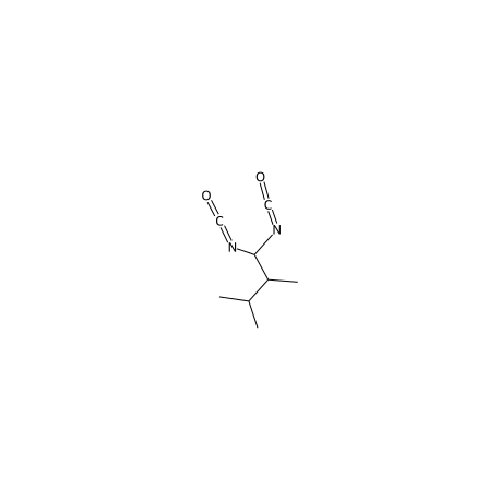 CC(C)C(C)C(N=C=O)N=C=O